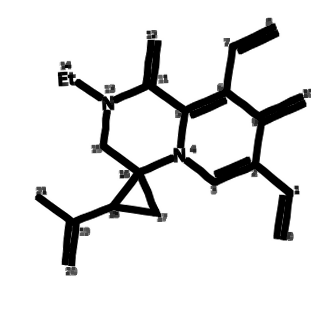 C=CC1=CN2C(=C(C=C)C1=C)C(=C)N(CC)CC21CC1C(=C)C